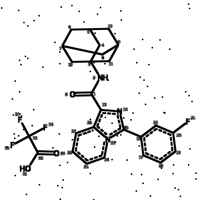 O=C(NC12CC3CC(CC(C3)C1)C2)c1nc(-c2cccc(F)c2)n2ccccc12.O=C(O)C(F)(F)F